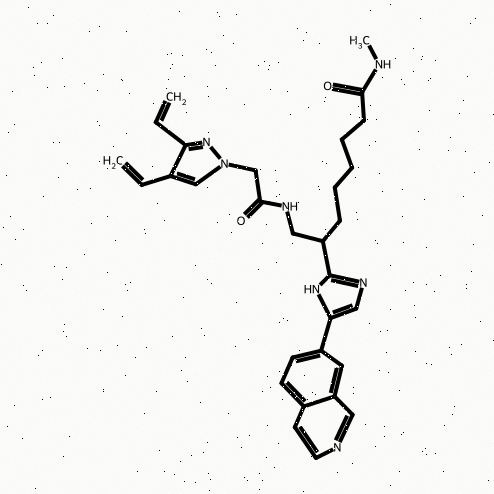 C=Cc1cn(CC(=O)NCC(CCCCCC(=O)NC)c2ncc(-c3ccc4ccncc4c3)[nH]2)nc1C=C